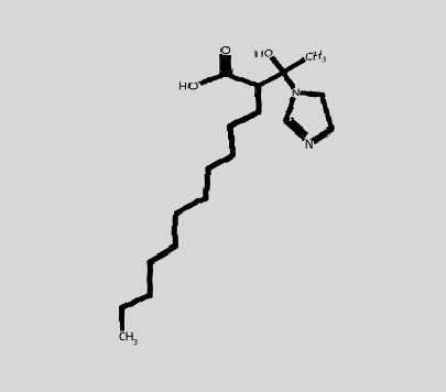 CCCCCCCCCCCC(C(=O)O)C(C)(O)N1C=NCC1